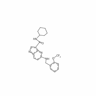 O=C(NC1CCCCC1)c1cnn2ccc(NCc3ccccc3OC(F)(F)F)nc12